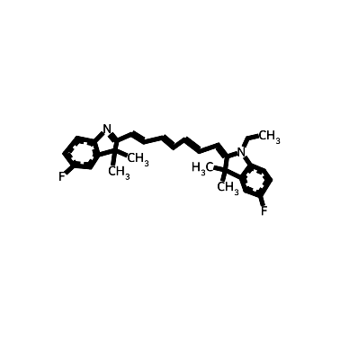 CCN1/C(=C/C=C/C=C/C=C/C2=Nc3ccc(F)cc3C2(C)C)C(C)(C)c2cc(F)ccc21